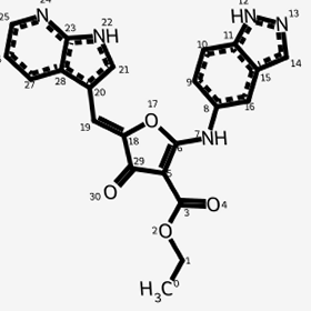 CCOC(=O)C1=C(Nc2ccc3[nH]ncc3c2)OC(=Cc2c[nH]c3ncccc23)C1=O